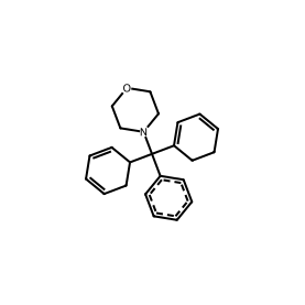 C1=CCCC(C(c2ccccc2)(C2C=CC=CC2)N2CCOCC2)=C1